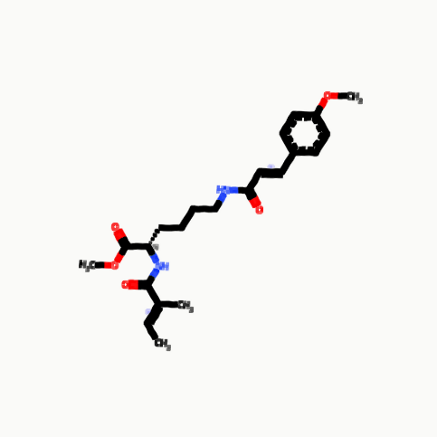 C/C=C(\C)C(=O)N[C@@H](CCCCNC(=O)/C=C/c1ccc(OC)cc1)C(=O)OC